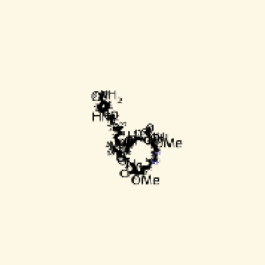 COc1cc2cc(c1Cl)N(C)C(=O)C[C@H](OC(=O)[C@H](C)N(C)C(=O)CCC(C)(C)SCC(=O)Nc1ccc(C(N)=O)cc1)[C@]1(C)O[C@H]1[C@H](C)C1C[C@@](O)(NC(=O)O1)[C@H](OC)/C=C/C=C(\C)C2